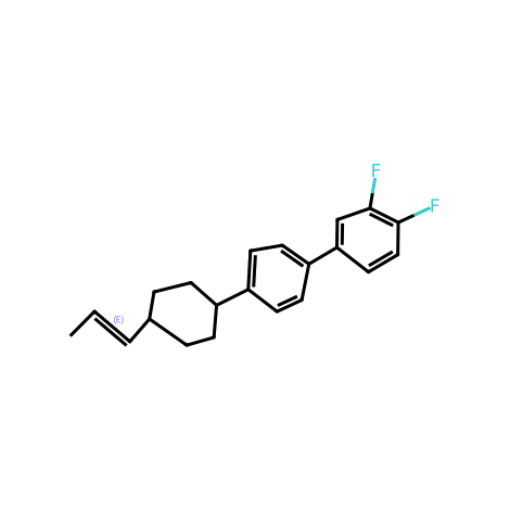 C/C=C/C1CCC(c2ccc(-c3ccc(F)c(F)c3)cc2)CC1